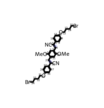 COc1cc(/C=C(\C#N)c2ccc(OCCCCBr)cc2)c(OC)cc1/C=C(\C#N)c1ccc(OCCCCBr)cc1